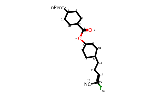 CCCCCC1CCC(C(=O)OC2CCC(CC/C=C(/F)C#N)CC2)CC1